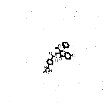 C=C(OC)c1c(CNC(=O)c2ccc(-c3noc(C)n3)cc2)c(=O)c2ccc(Cl)cc2n1-c1ccccc1